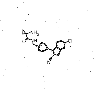 N#Cc1cc2cc(Cl)ccc2n1-c1ccc(CNC(=O)C2(N)CC2)cc1